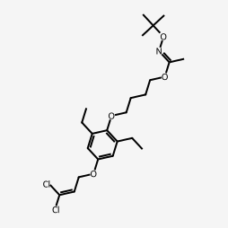 CCc1cc(OCC=C(Cl)Cl)cc(CC)c1OCCCCOC(C)=NOC(C)(C)C